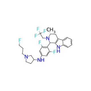 C[C@@H]1Cc2c([nH]c3ccccc23)C(c2c(F)cc(NC3CCN(CCCF)C3)cc2F)N1CC(F)(F)F